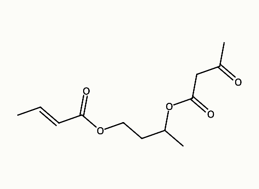 CC=CC(=O)OCCC(C)OC(=O)CC(C)=O